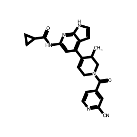 CC1CN(C(=O)c2ccnc(C#N)c2)CC=C1c1cc(NC(=O)C2CC2)nc2[nH]ccc12